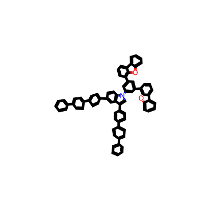 c1ccc(-c2ccc(-c3ccc(-c4ccc5c(c4)c(-c4ccc(-c6ccc(-c7ccccc7)cc6)cc4)cn5-c4cc(-c5cccc6c5oc5ccccc56)cc(-c5cccc6c5oc5ccccc56)c4)cc3)cc2)cc1